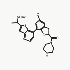 CC(=O)NC(C)c1cc2nccc(-c3cc(Cl)cc4c3OC(C(=O)N3CCNCC3)C4)c2s1